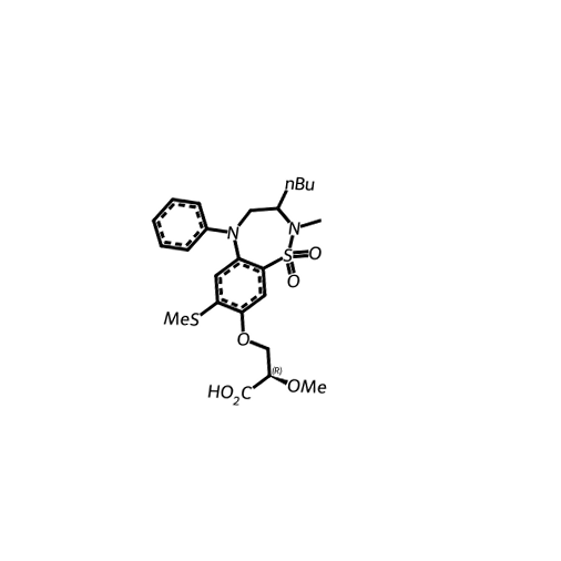 CCCCC1CN(c2ccccc2)c2cc(SC)c(OC[C@@H](OC)C(=O)O)cc2S(=O)(=O)N1C